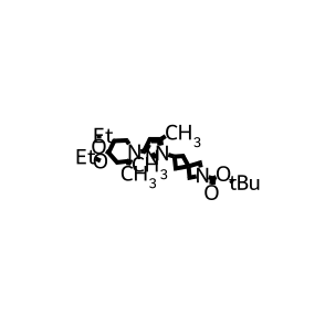 CCOC1(OCC)CCN(c2cc(C)n(C3CC4(C3)CN(C(=O)OC(C)(C)C)C4)n2)C(C)(C)C1